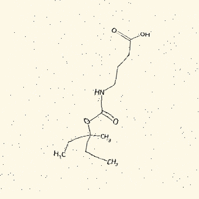 CCC(C)(CC)OC(=O)NCCCC(=O)O